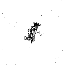 Cn1ccc(CNC(=O)c2nc(Br)c(C(F)(F)F)nc2N)n1